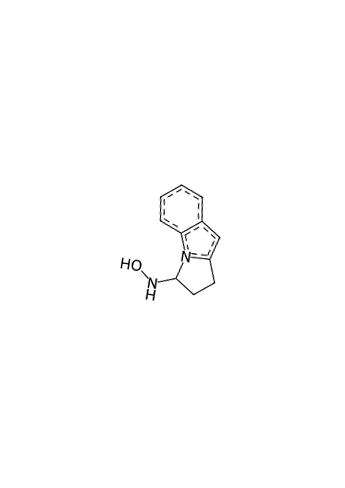 ONC1CCc2cc3ccccc3n21